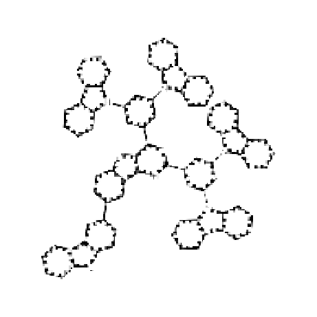 c1ccc2c(c1)oc1ccc(-c3ccc4oc5c(-c6cc(-n7c8ccccc8c8ccccc87)cc(-n7c8ccccc8c8ccccc87)c6)nc(-c6cc(-n7c8ccccc8c8ccccc87)cc(-n7c8ccccc8c8ccccc87)c6)nc5c4c3)cc12